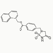 O=C1CN(Cc2ccc(C(=O)OCc3cccc4ccccc34)cc2)S(=O)(=O)N1